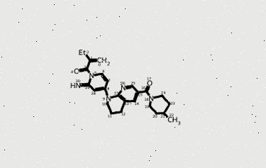 C=C(CC)C(=O)n1ccc(N2CCCc3cc(C(=O)N4CCC(C)CC4)cnc32)cc1=N